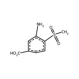 CS(=O)(=O)c1ccc(C(=O)O)cc1N